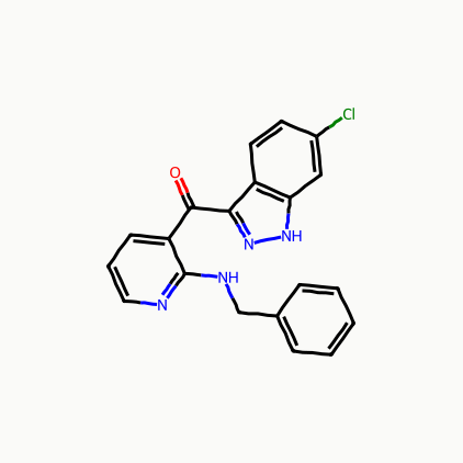 O=C(c1cccnc1NCc1ccccc1)c1n[nH]c2cc(Cl)ccc12